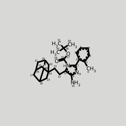 Cc1ccccc1-c1nc(N)c(CCC23CC4CC(CC(C4)C2)C3)n1C(=O)OC(C)(C)C